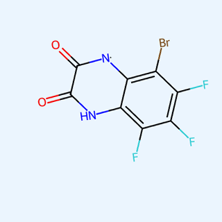 O=C1[N]c2c(Br)c(F)c(F)c(F)c2NC1=O